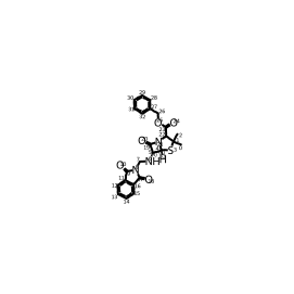 CC1(C)S[C@@H]2[C@H](NCN3C(=O)c4ccccc4C3=O)C(=O)N2C1C(=O)OCc1ccccc1